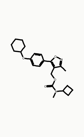 Cc1noc(-c2ccc(OC3CCCCC3)cc2)c1COC(=O)N(C)C1CCC1